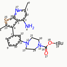 Cc1cc(N)c2c(-c3cccc(N4CCN(C(=O)OC(C)(C)C)CC4)c3)c(C)sc2n1